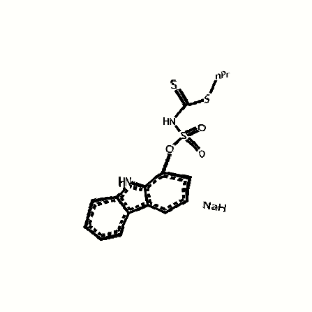 CCCSC(=S)NS(=O)(=O)Oc1cccc2c1[nH]c1ccccc12.[NaH]